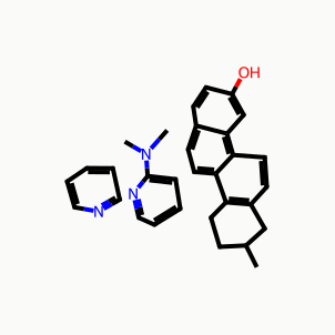 CC1CCc2c(ccc3c2ccc2ccc(O)cc23)C1.CN(C)c1ccccn1.c1ccncc1